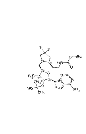 C[C@H]1[C@@H](OC(C)(C)O)[C@H](c2ccc3c(N)ncnn23)O[C@@H]1CN1CC(F)(F)C[C@H]1CCNC(=O)OC(C)(C)C